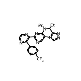 CCC1c2nncn2-c2cnc(-c3nccnc3-c3ccc(C(F)(F)F)cc3)nc2N1C(C)C